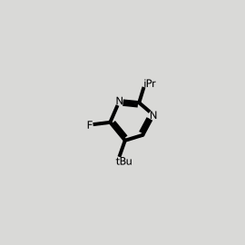 CC(C)c1ncc(C(C)(C)C)c(F)n1